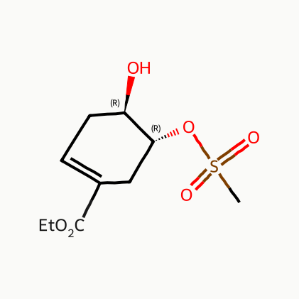 CCOC(=O)C1=CC[C@@H](O)[C@H](OS(C)(=O)=O)C1